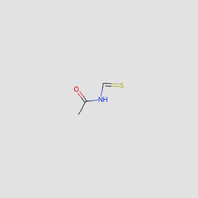 CC(=O)NC=S